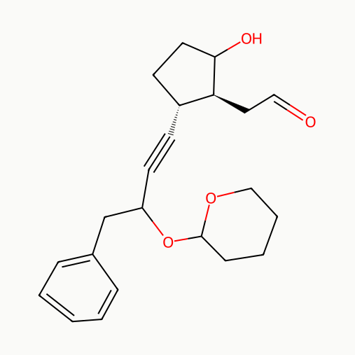 O=CC[C@@H]1C(O)CC[C@H]1C#CC(Cc1ccccc1)OC1CCCCO1